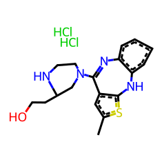 Cc1cc2c(s1)Nc1ccccc1N=C2N1CCNC(CCO)C1.Cl.Cl